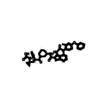 Cc1cc(Oc2ccccc2)ccc1N1C(=O)Nc2c(C(=O)NC3CCCN(C(=O)/C(C#N)=C/C4(NC(=O)O)CC4)C3)sc3nccc1c23